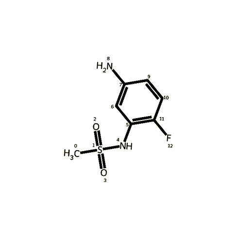 CS(=O)(=O)Nc1cc(N)ccc1F